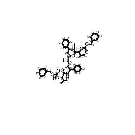 CC(C)[C@H](NC(=O)OCc1ccccc1)C(=O)NC(COBOCC(NC(=O)[C@@H](NC(=O)OCc1ccccc1)C(C)C)c1ccccc1)c1ccccc1